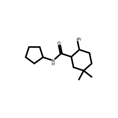 CC(C)C1CCC(C)(C)CC1C(=O)NC1CCCC1